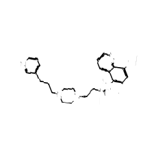 O=S(=O)(NCCN1CCN(CCCc2cccnc2)CC1)c1ccc(Cl)c2ncccc12